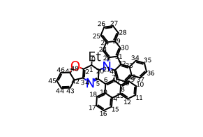 CCC1C2=C(N=C(c3cc4ccccc4c4ccccc34)C1n1c3cc4ccccc4cc3c3c4ccccc4ccc31)C1C=CC=CC1O2